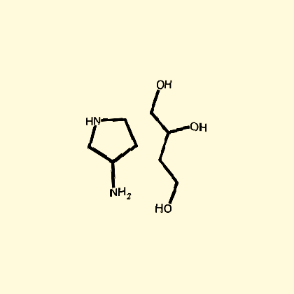 NC1CCNC1.OCCC(O)CO